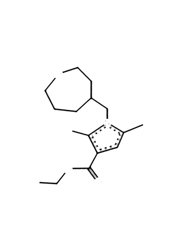 CCOC(=O)c1cc(C)n(CC2CCCOCC2)c1C